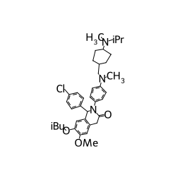 CCC(C)Oc1cc2c(cc1OC)CC(=O)N(c1ccc(N(C)CC3CCC(N(C)C(C)C)CC3)cc1)C2c1ccc(Cl)cc1